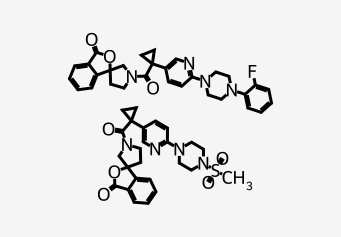 CS(=O)(=O)N1CCN(c2ccc(C3(C(=O)N4CCC5(C4)OC(=O)c4ccccc45)CC3)cn2)CC1.O=C1OC2(CCN(C(=O)C3(c4ccc(N5CCN(c6ccccc6F)CC5)nc4)CC3)C2)c2ccccc21